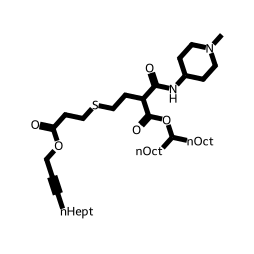 CCCCCCCC#CCOC(=O)CCSCCC(C(=O)NC1CCN(C)CC1)C(=O)OC(CCCCCCCC)CCCCCCCC